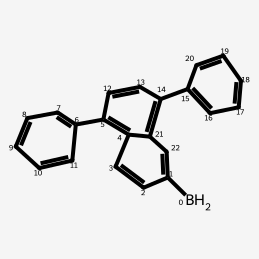 Bc1ccc2c(-c3ccccc3)ccc(-c3ccccc3)c2c1